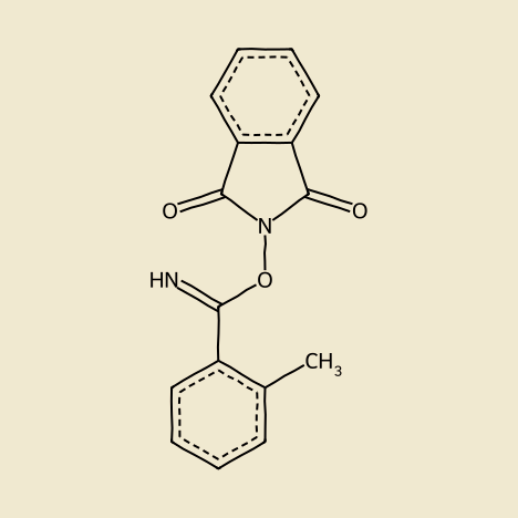 Cc1ccccc1C(=N)ON1C(=O)c2ccccc2C1=O